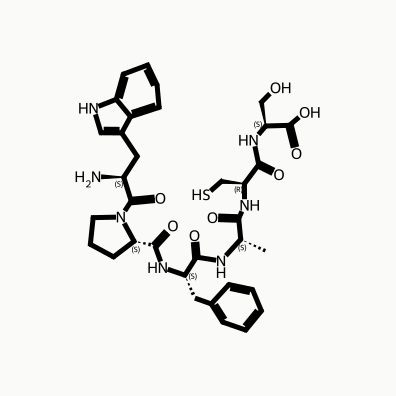 C[C@H](NC(=O)[C@H](Cc1ccccc1)NC(=O)[C@@H]1CCCN1C(=O)[C@@H](N)Cc1c[nH]c2ccccc12)C(=O)N[C@@H](CS)C(=O)N[C@@H](CO)C(=O)O